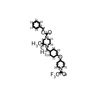 CC1(C)CN(C(=O)OCc2ccccc2)CCN1CC1CCC(OC2CCN(C(=O)C(F)(F)F)CC2)CC1